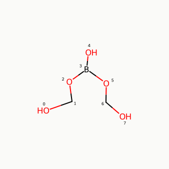 OCOB(O)OCO